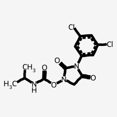 CC(C)NC(=O)ON1CC(=O)N(c2cc(Cl)cc(Cl)c2)C1=O